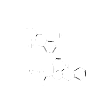 COC(=O)C1CC(Cc2ccccc2)C(=N)N1CC(=O)c1cc(C(C)(C)C)c(OC(=O)C(F)(F)F)c(C(C)(C)C)c1